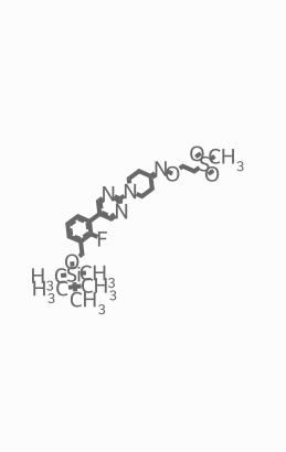 CC(C)(C)[Si](C)(C)OCc1cccc(-c2cnc(N3CCC(=NOCCS(C)(=O)=O)CC3)nc2)c1F